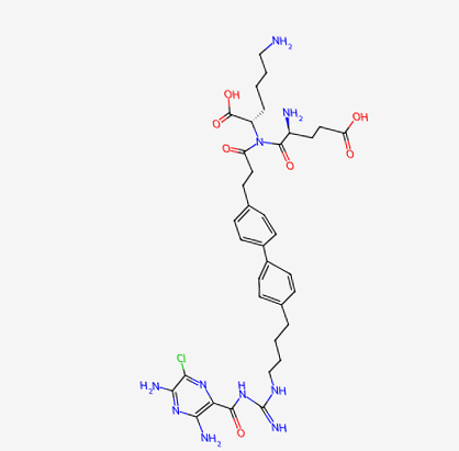 N=C(NCCCCc1ccc(-c2ccc(CCC(=O)N(C(=O)[C@@H](N)CCC(=O)O)[C@@H](CCCCN)C(=O)O)cc2)cc1)NC(=O)c1nc(Cl)c(N)nc1N